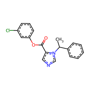 CC(c1ccccc1)n1cncc1C(=O)Oc1cccc(Cl)c1